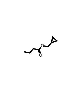 CCCC(=O)OCC1CC1